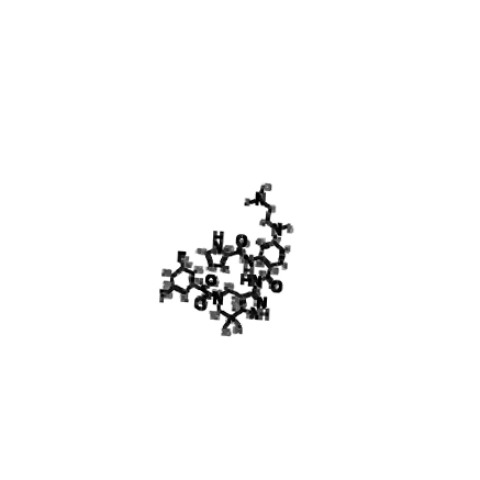 CN(C)CCN(C)c1ccc(C(=O)Nc2n[nH]c3c2CN(S(=O)(=O)c2cc(F)cc(F)c2)CC3(C)C)c(NC(=O)c2ccc[nH]2)c1